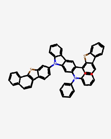 c1ccc(N(c2ccccc2)c2cc3c(cc2-c2cccc4c2sc2ccccc24)c2ccccc2n3-c2ccc3c(c2)sc2c4ccccc4ccc32)cc1